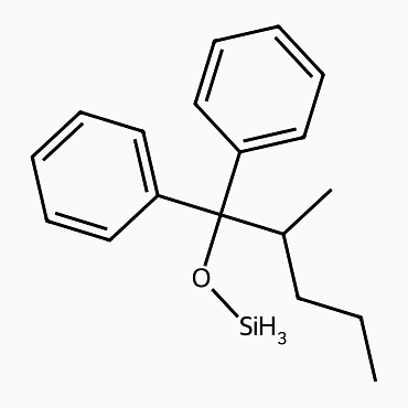 CCCC(C)C(O[SiH3])(c1ccccc1)c1ccccc1